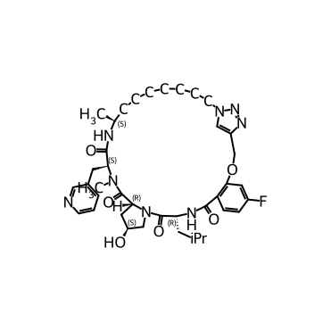 CC(C)C[C@H]1NC(=O)c2ccc(F)cc2OCc2cn(nn2)CCCCCCC[C@H](C)NC(=O)[C@H](Cc2cccnc2)N(C)C(=O)[C@H]2C[C@H](O)CN2C1=O